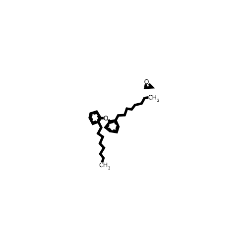 C1CO1.CCCCCCCCc1ccccc1Oc1ccccc1CCCCCCCC